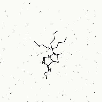 CCC[CH2][Sn]([CH2]CCC)([CH2]CCC)[C]1=C(C)SC2C(=NOC)N=CN12